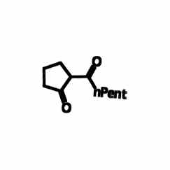 CCCCCC(=O)C1CCCC1=O